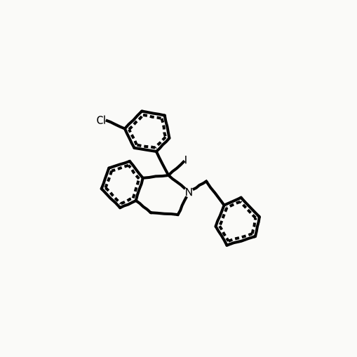 Clc1cccc(C2(I)c3ccccc3CCN2Cc2ccccc2)c1